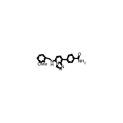 COc1ccccc1CNc1ccc(-c2ccc(C(N)=O)cc2)c2nncn12